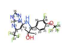 CC(C)(O)[C@@H](Nc1cc(C(F)(F)F)nc2ncnn12)c1ccc(OC(F)(F)F)c(F)c1